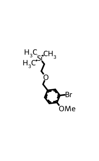 COc1ccc(COCC[Si](C)(C)C)cc1Br